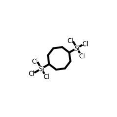 Cl[Si](Cl)(Cl)C1CCCC([Si](Cl)(Cl)Cl)CCC1